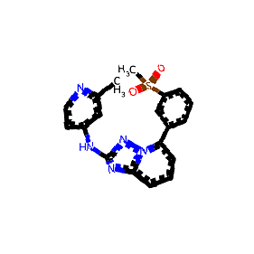 Cc1cc(Nc2nc3cccc(-c4cccc(S(C)(=O)=O)c4)n3n2)ccn1